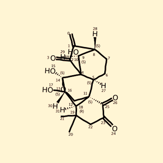 C=C1C(=O)C23[C@@H](CC[C@@H]1[C@@H]2O)[C@@]12CO[C@]3(O)[C@@H](O)[C@@H]1C(C)(C)CC(=O)C2=O